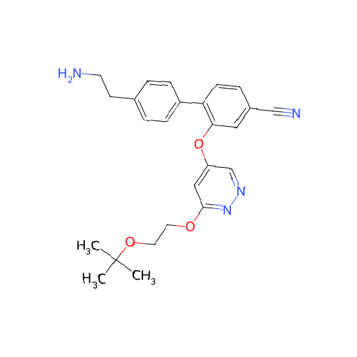 CC(C)(C)OCCOc1cc(Oc2cc(C#N)ccc2-c2ccc(CCN)cc2)cnn1